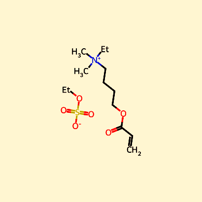 C=CC(=O)OCCCC[N+](C)(C)CC.CCOS(=O)(=O)[O-]